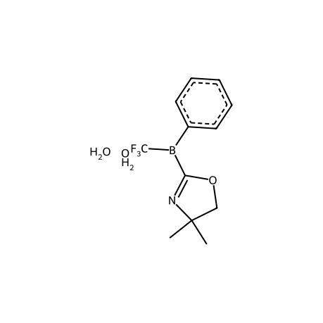 CC1(C)COC(B(c2ccccc2)C(F)(F)F)=N1.O.O